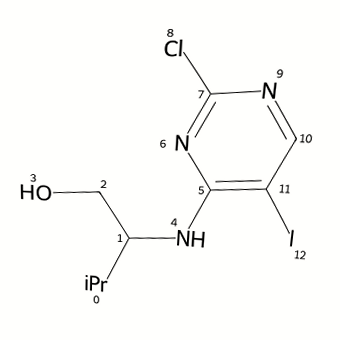 CC(C)C(CO)Nc1nc(Cl)ncc1I